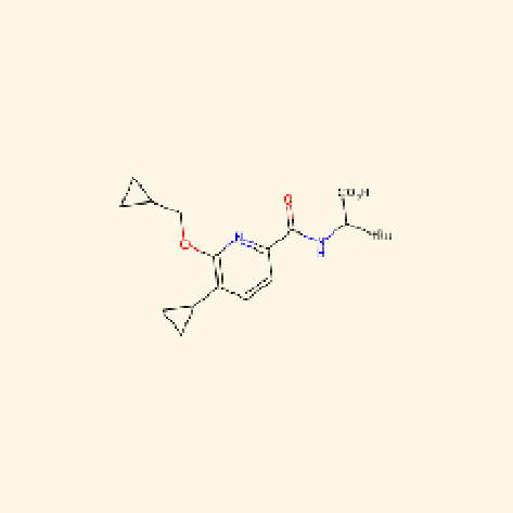 CC(C)(C)C(NC(=O)c1ccc(C2CC2)c(OCC2CC2)n1)C(=O)O